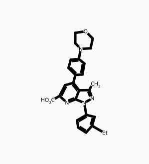 CCc1cccc(-n2nc(C)c3c(-c4ccc(N5CCOCC5)cc4)cc(C(=O)O)nc32)c1